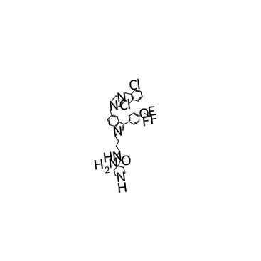 NC1(C(=O)NCCCCn2cc(-c3ccc(OC(F)(F)F)cc3)c3cc(CN4CCN(Cc5c(Cl)cccc5Cl)CC4)ccc32)CCNCC1